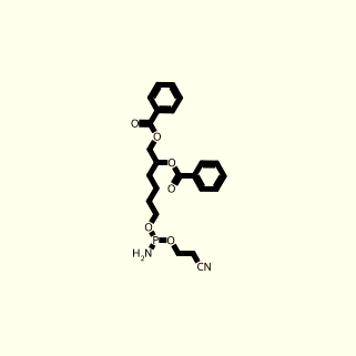 N#CCCOP(N)OCCCCC(COC(=O)c1ccccc1)OC(=O)c1ccccc1